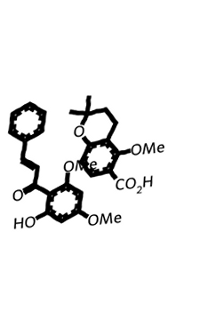 COc1c(C(=O)O)ccc2c1CCC(C)(C)O2.COc1cc(O)c(C(=O)C=Cc2ccccc2)c(OC)c1